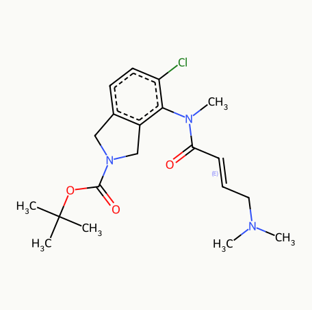 CN(C)C/C=C/C(=O)N(C)c1c(Cl)ccc2c1CN(C(=O)OC(C)(C)C)C2